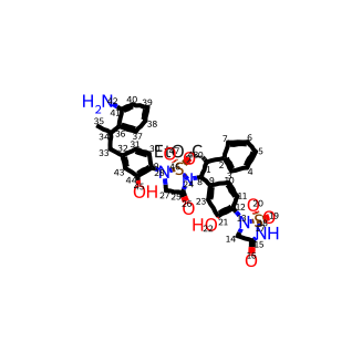 CCOC(=O)C(c1ccccc1)C(c1ccc(N2CC(=O)NS2(=O)=O)c(O)c1)N1C(=O)CN(c2ccc(CC(C)c3ccccc3N)cc2O)S1(=O)=O